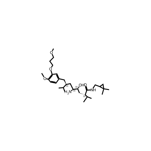 COCCCOc1cc(C[C@@H](C[C@H](N)[C@@H](O)C[C@H](C(=O)NCC2CC2(C)C)C(C)C)C(C)C)ccc1OC